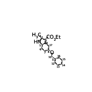 CCOC(=O)c1c(C)[nH]c2ccc(OCc3ccccc3)cc12